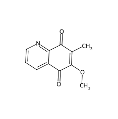 COC1=C(C)C(=O)c2ncccc2C1=O